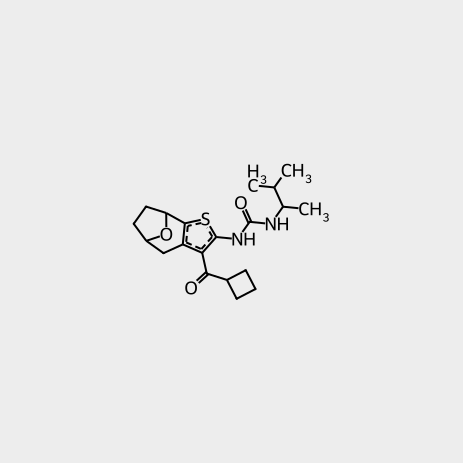 CC(C)C(C)NC(=O)Nc1sc2c(c1C(=O)C1CCC1)CC1CCC2O1